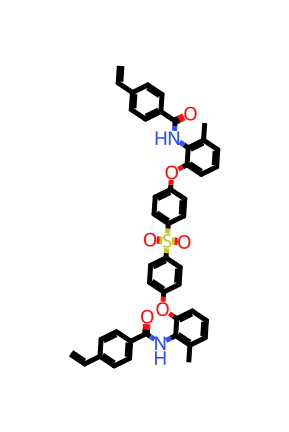 C=Cc1ccc(C(=O)Nc2c(C)cccc2Oc2ccc(S(=O)(=O)c3ccc(Oc4cccc(C)c4NC(=O)c4ccc(C=C)cc4)cc3)cc2)cc1